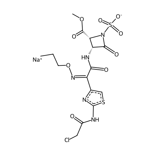 CCCON=C(C(=O)N[C@H]1C(=O)N(S(=O)(=O)[O-])[C@H]1C(=O)OC)c1csc(NC(=O)CCl)n1.[Na+]